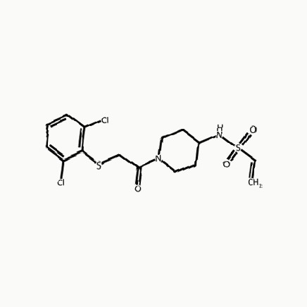 C=CS(=O)(=O)NC1CCN(C(=O)CSc2c(Cl)cccc2Cl)CC1